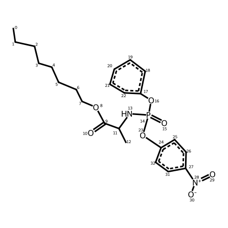 CCCCCCCCOC(=O)C(C)NP(=O)(Oc1ccccc1)Oc1ccc([N+](=O)[O-])cc1